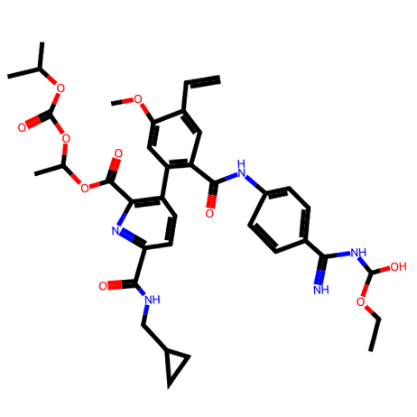 C=Cc1cc(C(=O)Nc2ccc(C(=N)NC(O)OCC)cc2)c(-c2ccc(C(=O)NCC3CC3)nc2C(=O)OC(C)OC(=O)OC(C)C)cc1OC